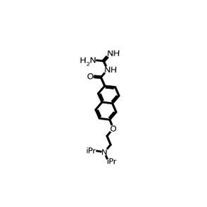 CC(C)N(CCOc1ccc2cc(C(=O)NC(=N)N)ccc2c1)C(C)C